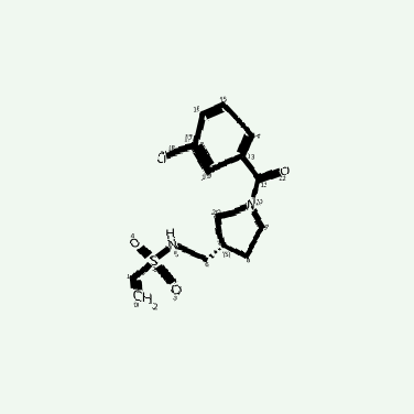 C=CS(=O)(=O)NC[C@H]1CCN(C(=O)c2cccc(Cl)c2)C1